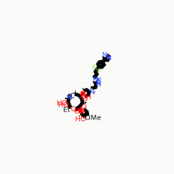 CC[C@H]1OC(=O)[C@H](C)[C@@H](O[C@H]2C[C@@](C)(OC)[C@@H](O)[C@H](C)O2)[C@H](C)[C@@H](O[C@H]2C[C@@H](N(C)CCc3cn(CCCC(F)(F)c4ccc(-c5cncnc5)cc4)nn3)C[C@@H](C)O2)[C@](C)(O)C[C@@H](C)CN(C)[C@H](C)[C@@H](O)[C@]1(C)O